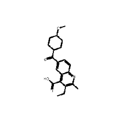 CCc1c(C)nc2ccc(C(=O)C3CCC(OC)CC3)cc2c1C(=O)O